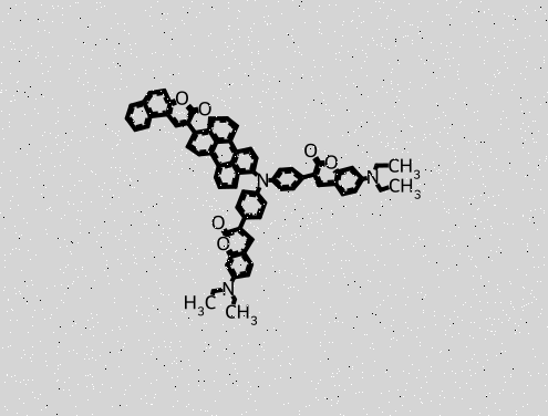 CCN(CC)c1ccc2cc(-c3ccc(N(c4ccc(-c5cc6ccc(N(CC)CC)cc6oc5=O)cc4)c4ccc5c6cccc7c(-c8cc9c(ccc%10ccccc%109)oc8=O)ccc(c8cccc4c85)c76)cc3)c(=O)oc2c1